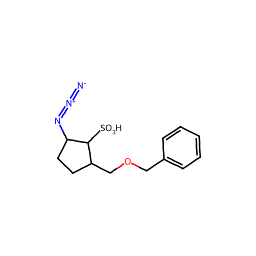 [N-]=[N+]=NC1CCC(COCc2ccccc2)C1S(=O)(=O)O